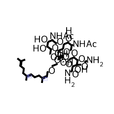 CC(=O)NC1C(OC2C(CO)OC(OC3C(OP(=O)(O)OCCOC/C=C(/C)CC/C=C(\C)CCC=C(C)C)OC(C(N)=O)C(C)(O)C3OC(N)=O)C(NC(C)=O)C2O)OC(CO)C(O)C1O